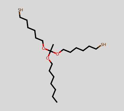 CCCCCCCOC(C)(OCCCCCCS)OCCCCCCS